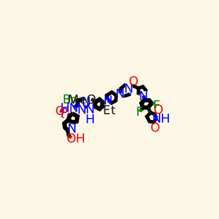 CCc1cc(Nc2ncc(Br)c(Nc3ccc4nc(CO)ccc4c3P(C)(C)=O)n2)c(OC)cc1N1CCC(N2CCN(C(=O)C3CCN(c4cc(F)c(C5CCC(=O)NC5=O)c(F)c4)C3)CC2)CC1